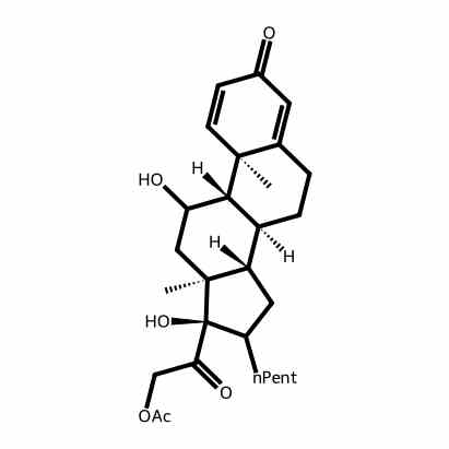 CCCCCC1C[C@H]2[C@@H]3CCC4=CC(=O)C=C[C@]4(C)[C@H]3C(O)C[C@]2(C)[C@@]1(O)C(=O)COC(C)=O